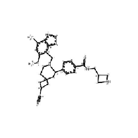 COc1cc(C)c2[nH]ccc2c1CN1CCC2(CC(C#N)C2)CC1c1ccc(C(=O)NCC2CNC2)cc1